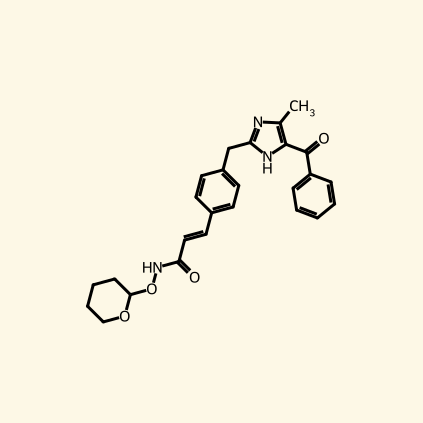 Cc1nc(Cc2ccc(/C=C/C(=O)NOC3CCCCO3)cc2)[nH]c1C(=O)c1ccccc1